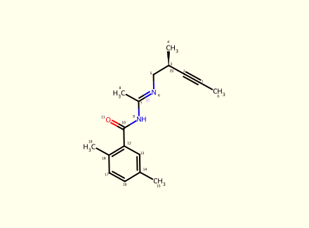 CC#C[C@H](C)C/N=C(\C)NC(=O)c1cc(C)ccc1C